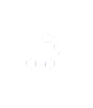 Cc1ncccc1Oc1ccc(N(C)C(=O)Oc2cn(C)c3ccccc23)cn1